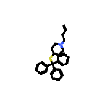 C=CCCN1CCC(SC(c2ccccc2)(c2ccccc2)c2ccccc2)CC1